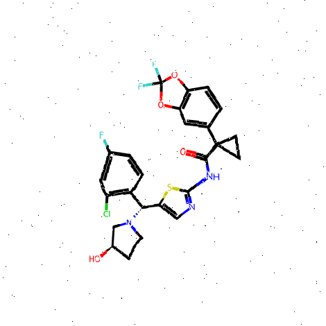 O=C(Nc1ncc([C@@H](c2ccc(F)cc2Cl)N2CC[C@@H](O)C2)s1)C1(c2ccc3c(c2)OC(F)(F)O3)CC1